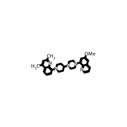 COc1cc(N2CCN(C3CCN(c4cccc5c(C)cc(C)nc45)CC3)CC2)c2ncccc2c1